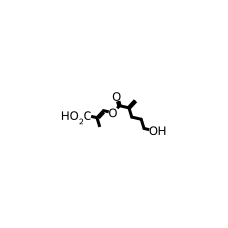 C=C(CCCO)C(=O)OC=C(C)C(=O)O